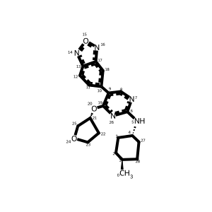 C[C@H]1CC[C@H](Nc2ncc(-c3ccc4nonc4c3)c(O[C@@H]3CCOC3)n2)CC1